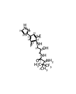 CC(C)([C@H](N)C(=O)NC[C@@H](O)CNc1c(F)cc(-c2cc[nH]n2)cc1F)C(F)(F)F